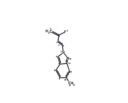 C=C(F)/C=C/n1cc2ccc(C)cc2n1